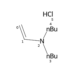 C=CN(CCCC)CCCC.Cl